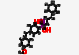 COc1ccc(Cc2ccc([PH](O)(O)C[CH]Cc3ccccc3)cc2)cc1